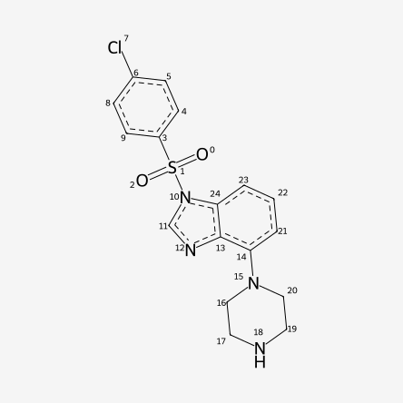 O=S(=O)(c1ccc(Cl)cc1)n1cnc2c(N3CCNCC3)cccc21